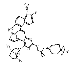 C#Cc1c(F)ccc2c(-c3cc4nc(OCC5(CN6CCC7(CC6)CC7(F)F)CC5)nc(N5C[C@H]6CC[C@@H](C5)N6)c4n4ccnc34)c(O)ccc12